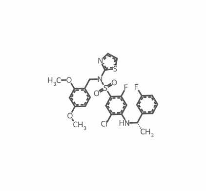 COc1ccc(CN(c2nccs2)S(=O)(=O)c2cc(Cl)c(N[C@@H](C)c3cccc(F)c3)cc2F)c(OC)c1